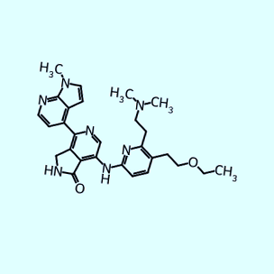 CCOCCc1ccc(Nc2cnc(-c3ccnc4c3ccn4C)c3c2C(=O)NC3)nc1CCN(C)C